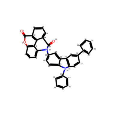 O=c1oc2cccc3c2c2c1cccc2c(=O)n3-c1ccc2c(c1)c1cc(-c3ccccc3)ccc1n2-c1ccccc1